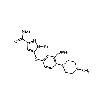 CCn1nc(C(=O)NC)cc1Sc1ccc(N2CCN(C)CC2)c(OC)c1